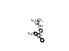 Cc1ccc2c(N3CCC[C@@H](CNC(=O)OC(C)C)C3)nc(-c3ccccc3)nc2c1